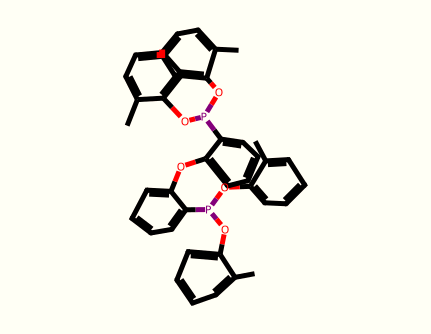 Cc1ccccc1OP(Oc1ccccc1C)c1ccccc1Oc1ccccc1P(Oc1ccccc1C)Oc1ccccc1C